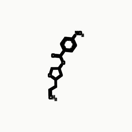 C=CCC1CC(OC(=O)c2ccc([N+](=O)[O-])cc2)CO1